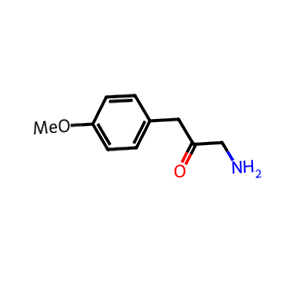 COc1ccc(CC(=O)CN)cc1